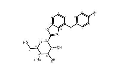 CCc1ccc(Cc2cccc3oc([C@@H]4O[C@H](CO)[C@@H](O)[C@H](O)[C@H]4O)cc23)cc1